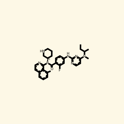 CCC(C)N(C)c1ccnc(Nc2ccc(C(=O)N(c3nccc4cccc(C)c34)[C@@H]3CCCNC3)c(F)c2)n1